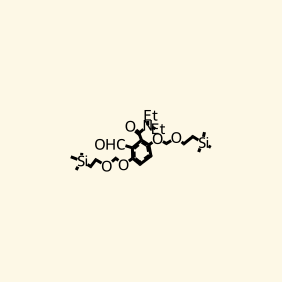 CCN(CC)C(=O)c1c(OCOCC[Si](C)(C)C)ccc(OCOCC[Si](C)(C)C)c1C=O